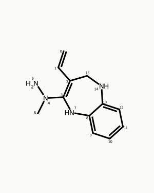 C=CC1=C(N(C)N)Nc2ccccc2NC1